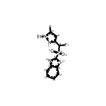 CCn1nc(C(F)S(=O)(=O)c2nc3ccccc3s2)cc1C